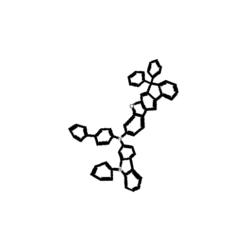 c1ccc(-c2ccc(N(c3ccc4c(c3)oc3cc5c(cc34)-c3ccccc3C5(c3ccccc3)c3ccccc3)c3ccc4c5ccccc5n(-c5ccccc5)c4c3)cc2)cc1